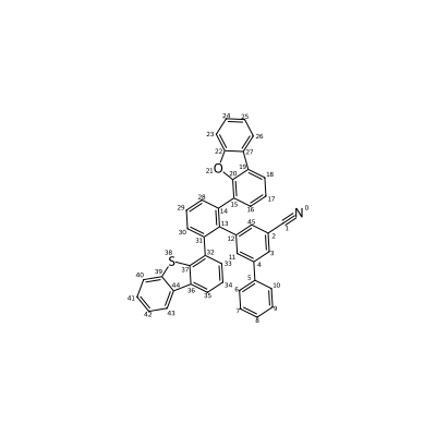 N#Cc1cc(-c2ccccc2)cc(-c2c(-c3cccc4c3oc3ccccc34)cccc2-c2cccc3c2sc2ccccc23)c1